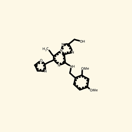 COc1ccc(CNc2nc(-c3ncco3)c(C)n3nc(CO)nc23)c(OC)c1